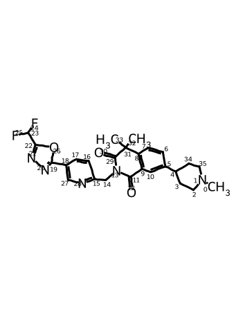 CN1CCC(c2ccc3c(c2)C(=O)N(Cc2ccc(-c4nnc(C(F)F)o4)cn2)C(=O)C3(C)C)CC1